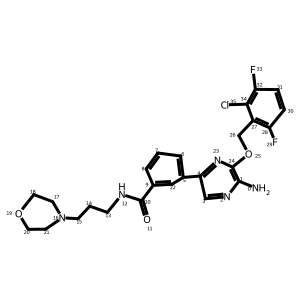 Nc1ncc(-c2cccc(C(=O)NCCCN3CCOCC3)c2)nc1OCc1c(F)ccc(F)c1Cl